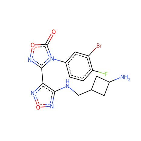 NC1CC(CNc2nonc2-c2noc(=O)n2-c2ccc(F)c(Br)c2)C1